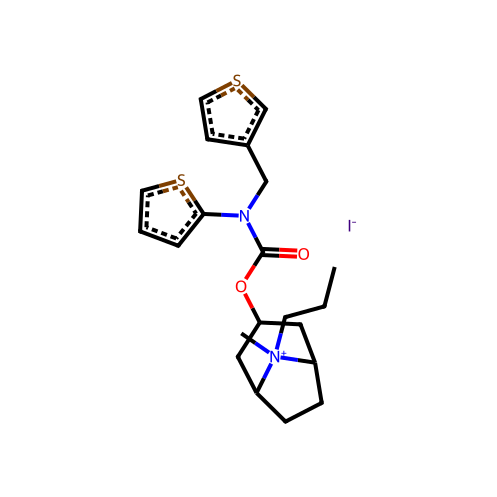 CCC[N+]1(C)C2CCC1CC(OC(=O)N(Cc1ccsc1)c1cccs1)C2.[I-]